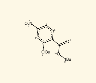 CC(C)COc1cc([N+](=O)[O-])ccc1C(=O)OC(C)(C)C